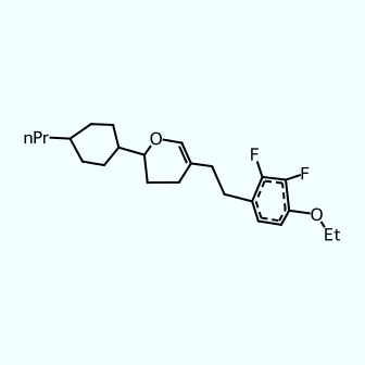 CCCC1CCC(C2CCC(CCc3ccc(OCC)c(F)c3F)=CO2)CC1